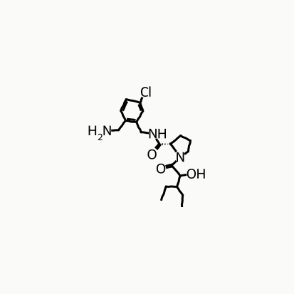 CCC(CC)C(O)C(=O)N1CCC[C@H]1C(=O)NCc1cc(Cl)ccc1CN